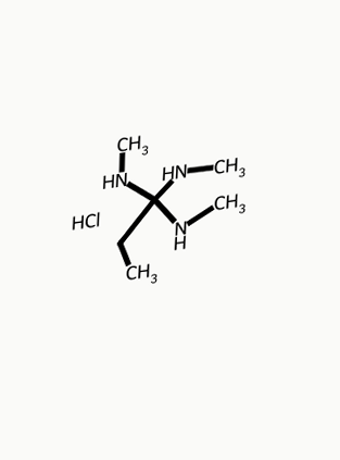 CCC(NC)(NC)NC.Cl